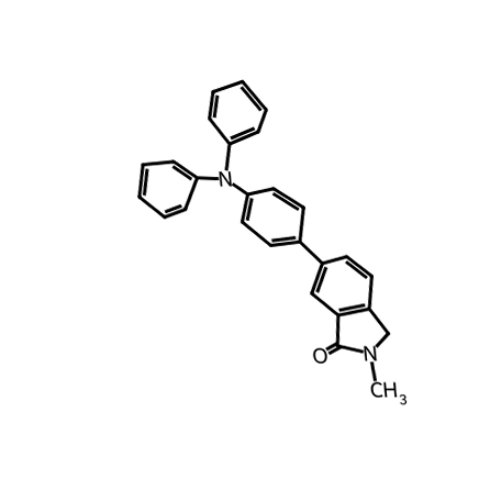 CN1Cc2ccc(-c3ccc(N(c4ccccc4)c4ccccc4)cc3)cc2C1=O